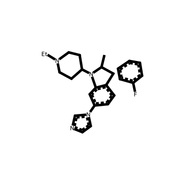 CCN1CCC(N2c3cc(-n4ccnc4)ccc3CC2C)CC1.Fc1ccccc1